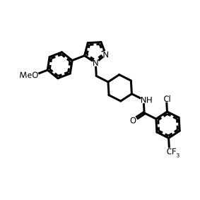 COc1ccc(-c2ccnn2CC2CCC(NC(=O)c3cc(C(F)(F)F)ccc3Cl)CC2)cc1